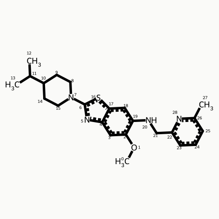 COc1cc2nc(N3CCC(C(C)C)CC3)sc2cc1NCc1cccc(C)n1